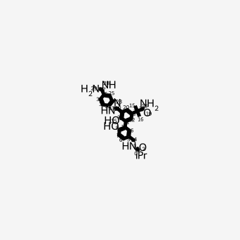 CC(C)C(=O)NCc1ccc(O)c(-c2cc(C(C)(C)C(N)=O)cc(-c3nc4cc(C(=N)N)ccc4[nH]3)c2O)c1